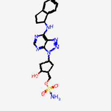 NS(=O)(=O)OCC1CC(n2nnc3c(N[C@H]4CCc5ccccc54)ncnc32)CC1O